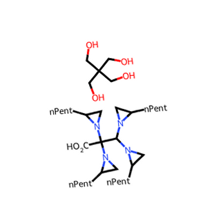 CCCCCC1CN1C(N1CC1CCCCC)C(C(=O)O)(N1CC1CCCCC)N1CC1CCCCC.OCC(CO)(CO)CO